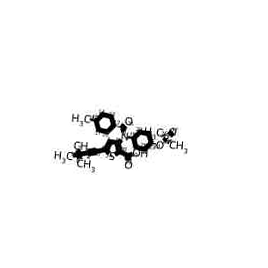 CC(C)(C)C#Cc1cc(N(C(=O)[C@H]2CC[C@H](C)CC2)[C@H]2CC[C@H](OP(C)(C)=O)CC2)c(C(=O)O)s1